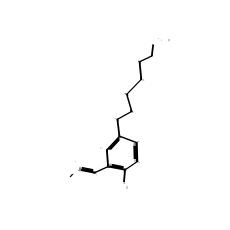 CCCCCCCCCCCCCCCc1ccc(O)c(C=NO)c1